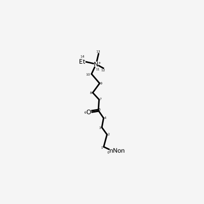 CCCCCCCCCCCCCC(=O)CCCC[N+](C)(C)CC